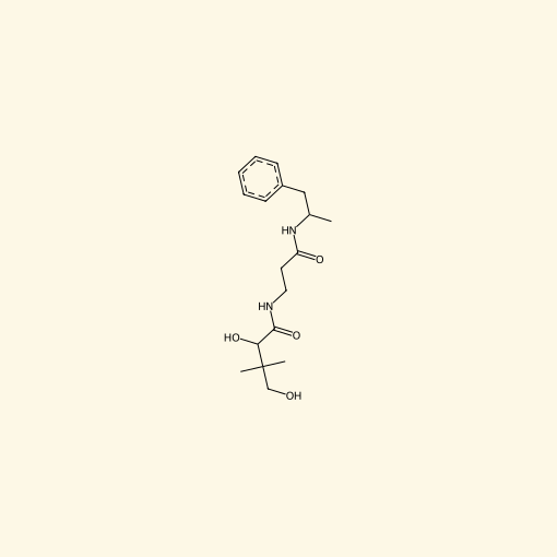 CC(Cc1ccccc1)NC(=O)CCNC(=O)C(O)C(C)(C)CO